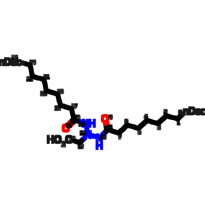 CCCCCCCCCCCCCCCCCC(=O)NN(CC(=O)O)NC(=O)CCCCCCCCCCCCCCCCC